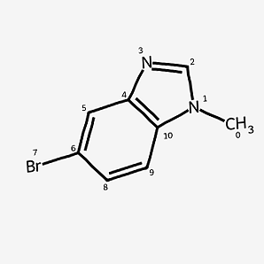 Cn1cnc2cc(Br)ccc21